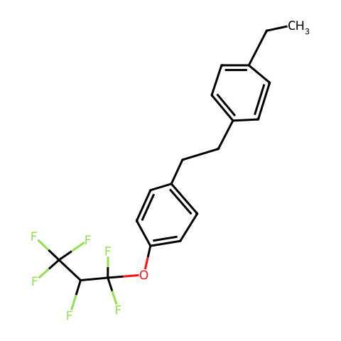 CCc1ccc(CCc2ccc(OC(F)(F)C(F)C(F)(F)F)cc2)cc1